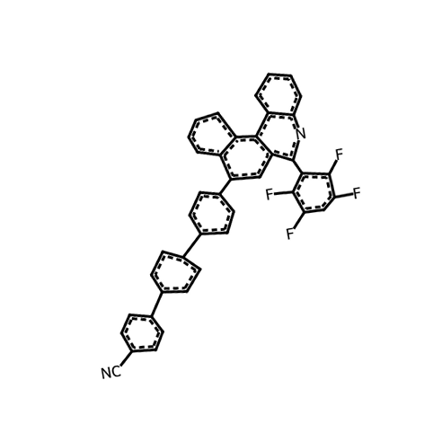 N#Cc1ccc(-c2ccc(-c3ccc(-c4cc5c(-c6c(F)c(F)cc(F)c6F)nc6ccccc6c5c5ccccc45)cc3)cc2)cc1